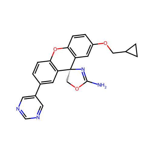 NC1=N[C@]2(CO1)c1cc(OCC3CC3)ccc1Oc1ccc(-c3cncnc3)cc12